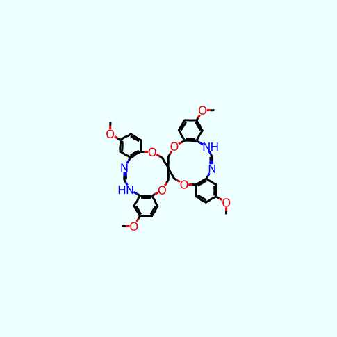 COc1ccc2c(c1)/N=C\Nc1cc(OC)ccc1OCC1(CO2)COc2ccc(OC)cc2/N=C\Nc2cc(OC)ccc2OC1